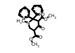 COC(=O)C1CN(C)C(c2ccccn2)(c2ccccn2)C(C(=O)OC)C1=O